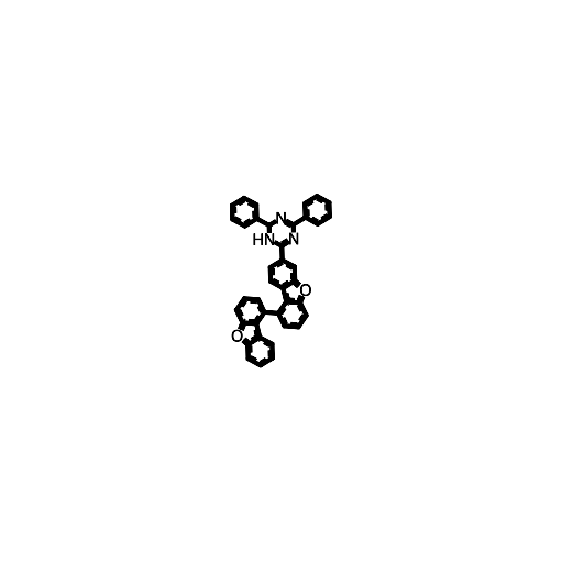 c1ccc(C2=NC(c3ccccc3)NC(c3ccc4c(c3)oc3cccc(-c5cccc6oc7ccccc7c56)c34)=N2)cc1